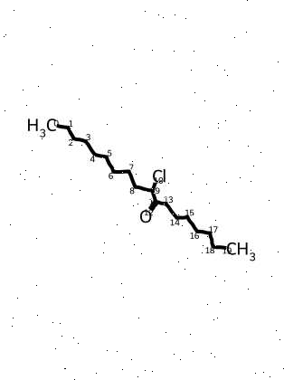 CCCCCCCCCC(Cl)C(=O)CCCCCCC